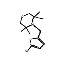 CC(=O)c1ccc(CN2C(C)(C)COCC2(C)C)o1